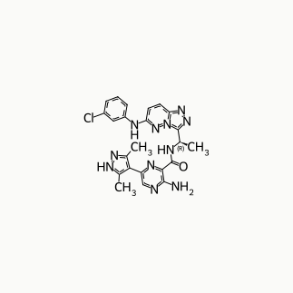 Cc1n[nH]c(C)c1-c1cnc(N)c(C(=O)N[C@H](C)c2nnc3ccc(Nc4cccc(Cl)c4)nn23)n1